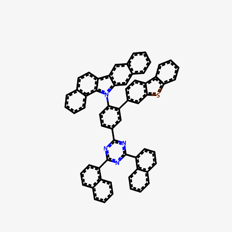 c1ccc2cc3c(cc2c1)c1ccc2ccccc2c1n3-c1ccc(-c2nc(-c3cccc4ccccc34)nc(-c3cccc4ccccc34)n2)cc1-c1ccc2c(c1)sc1ccccc12